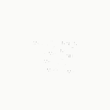 COc1ccc(-c2nc(Nc3cc(OC)c(OC)c(OC)c3)c3c(C)nc(C)n3n2)c(OC)c1